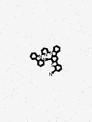 N#Cc1cccc2c1sc1c(C#N)c3c(cc12)c1ccccc1n3-c1cccc(-n2c3ccccc3c3ccccc32)n1